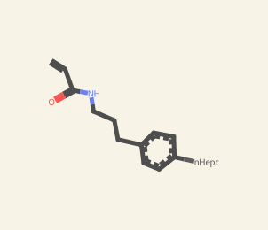 C=CC(=O)NCCCc1ccc(CCCCCCC)cc1